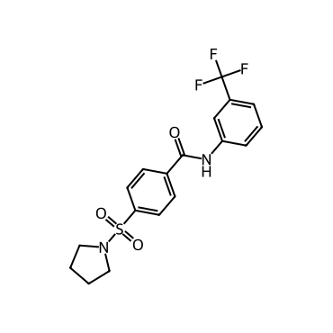 O=C(Nc1cccc(C(F)(F)F)c1)c1ccc(S(=O)(=O)N2CCCC2)cc1